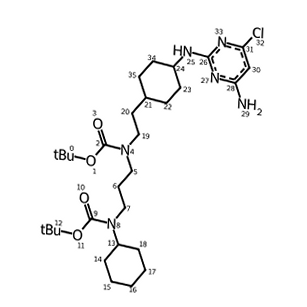 CC(C)(C)OC(=O)N(CCCN(C(=O)OC(C)(C)C)C1CCCCC1)CCC1CCC(Nc2nc(N)cc(Cl)n2)CC1